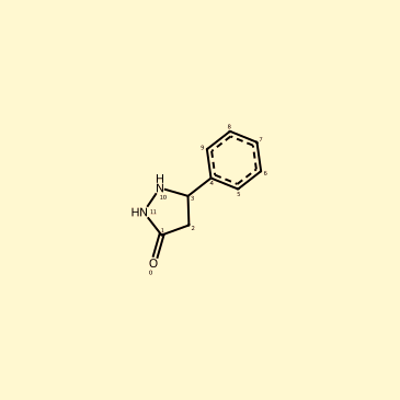 O=C1CC(c2ccccc2)NN1